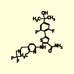 Cc1nc(Nc2sc(-c3c(F)cc(C(C)(C)O)cc3F)cc2C(N)=O)ccc1CN1CC(F)(F)C1